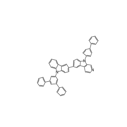 c1ccc(-c2ccc(-n3c4ccc(-c5ccc6c(c5)c5ccccc5n6-c5cc(-c6ccccc6)cc(-c6ccccc6)c5)cc4c4ccncc43)cc2)cc1